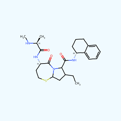 CCC1CC2SCC[C@H](NC(=O)[C@H](C)NC)C(=O)N2C1C(=O)N[C@@H]1CCCc2ccccc21